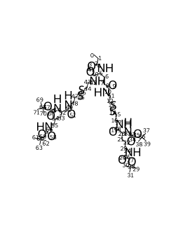 CCC(=O)NC(CCC(=O)NCCSSCCNC(=O)C(CCCNC(=O)OC(C)(C)C)NC(=O)OC(C)(C)C)C(=O)NCCSSCCNC(=O)C(CCCNC(=O)OC(C)(C)C)NC(=O)OC(C)(C)C